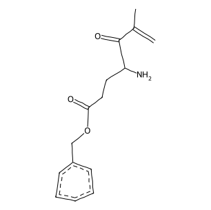 C=C(C)C(=O)C(N)CCC(=O)OCc1ccccc1